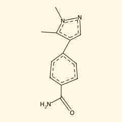 Cc1c(-c2ccc(C(N)=O)cc2)cnn1C